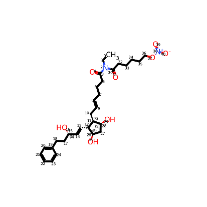 CCN(C(=O)CCCC=CC[C@@H]1[C@@H](C=C[C@@H](O)CCc2ccccc2)[C@H](O)C[C@@H]1O)C(=O)CCCCCO[N+](=O)[O-]